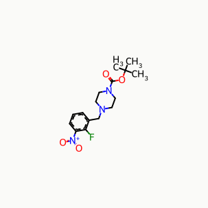 CC(C)(C)OC(=O)N1CCN(Cc2cccc([N+](=O)[O-])c2F)CC1